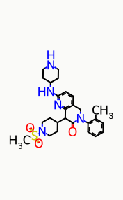 Cc1ccccc1N1Cc2ccc(NC3CCNCC3)nc2C(C2CCN(S(C)(=O)=O)CC2)C1=O